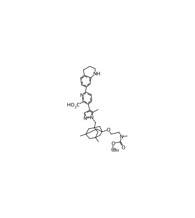 Cc1c(-c2ccc(-c3ccc4c(c3)NCCC4)nc2C(=O)O)cnn1CC12CC3(C)CC(C)(C1)CC(OCCN(C)C(=O)OC(C)(C)C)(C3)C2